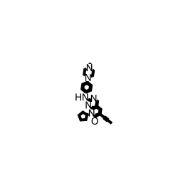 CC#Cc1cc2cnc(Nc3ccc(N4CCN(C)CC4)cc3)nc2n(C2CCCC2)c1=O